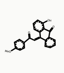 COc1ccc(C(=O)C=C2c3ccccc3C(=O)c3c(O)cccc32)cc1